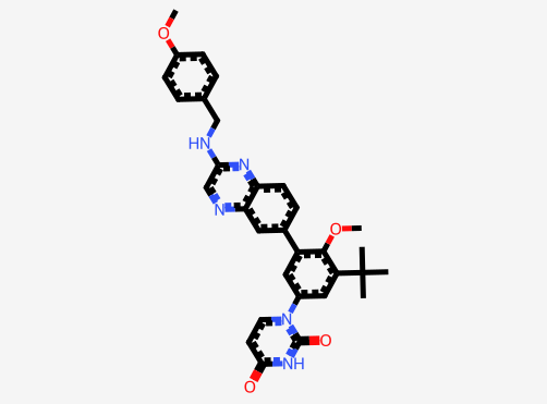 COc1ccc(CNc2cnc3cc(-c4cc(-n5ccc(=O)[nH]c5=O)cc(C(C)(C)C)c4OC)ccc3n2)cc1